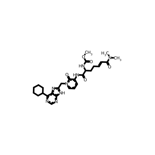 COC(=O)NC(CCC=CC(=O)N(C)C)C(=O)Nc1cccn(Cc2nc3c(C4CCCCC4)ncnc3[nH]2)c1=O